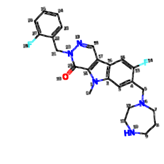 Cn1c2cc(CN3CCCNCC3)c(F)cc2c2cnn(Cc3ccccc3F)c(=O)c21